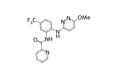 COc1ccc(Nc2ccc(C(F)(F)F)cc2NC(=O)c2ccccn2)nn1